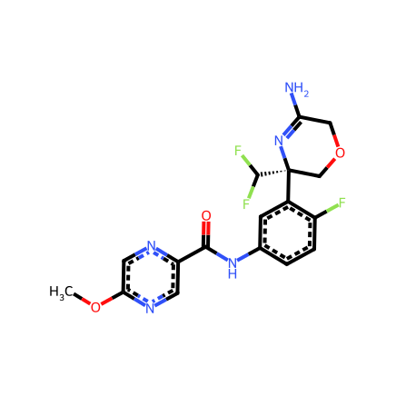 COc1cnc(C(=O)Nc2ccc(F)c([C@]3(C(F)F)COCC(N)=N3)c2)cn1